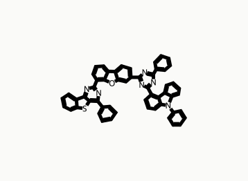 c1ccc(-c2nc(-c3ccc4c(c3)oc3c(-c5nc(-c6ccccc6)c6sc7ccccc7c6n5)cccc34)nc(-c3cccc4c3c3ccccc3n4-c3ccccc3)n2)cc1